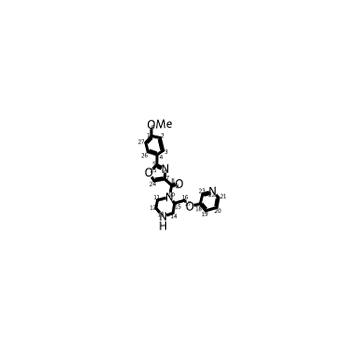 COc1ccc(-c2nc(C(=O)N3CCNCC3COc3cccnc3)co2)cc1